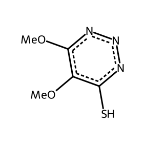 COc1nnnc(S)c1OC